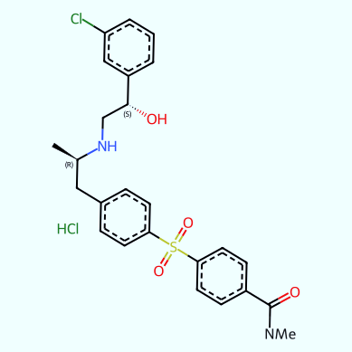 CNC(=O)c1ccc(S(=O)(=O)c2ccc(C[C@@H](C)NC[C@@H](O)c3cccc(Cl)c3)cc2)cc1.Cl